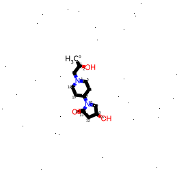 CC(O)CN1CCC(N2CC(O)CC2=O)CC1